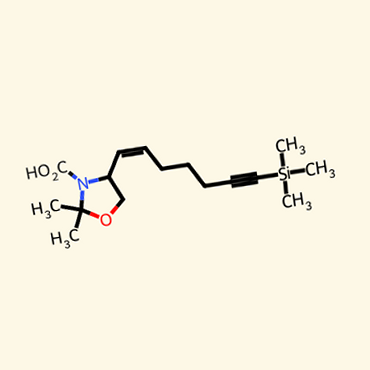 CC1(C)OCC(/C=C\CCCC#C[Si](C)(C)C)N1C(=O)O